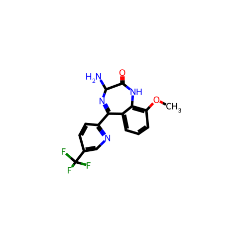 COc1cccc2c1NC(=O)C(N)N=C2c1ccc(C(F)(F)F)cn1